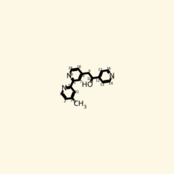 Cc1ccnc(-c2cc(CC(O)c3ccncc3)ccn2)c1